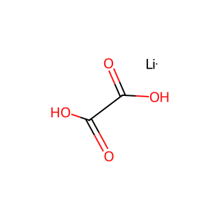 O=C(O)C(=O)O.[Li]